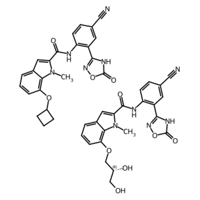 Cn1c(C(=O)Nc2ccc(C#N)cc2-c2noc(=O)[nH]2)cc2cccc(OC3CCC3)c21.Cn1c(C(=O)Nc2ccc(C#N)cc2-c2noc(=O)[nH]2)cc2cccc(OC[C@H](O)CO)c21